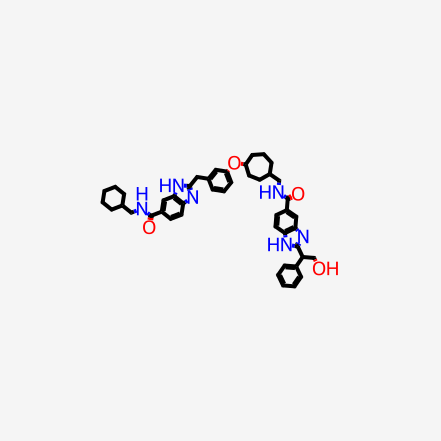 O=C(NCC1CCCCC1)c1ccc2nc(Cc3cccc(OC4CCCC(CNC(=O)c5ccc6[nH]c(C(CO)c7ccccc7)nc6c5)CC4)c3)[nH]c2c1